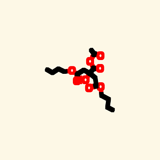 CCCCOC(=O)CC(O)(CC(=O)OCCCC)C(=O)OC(C)=O